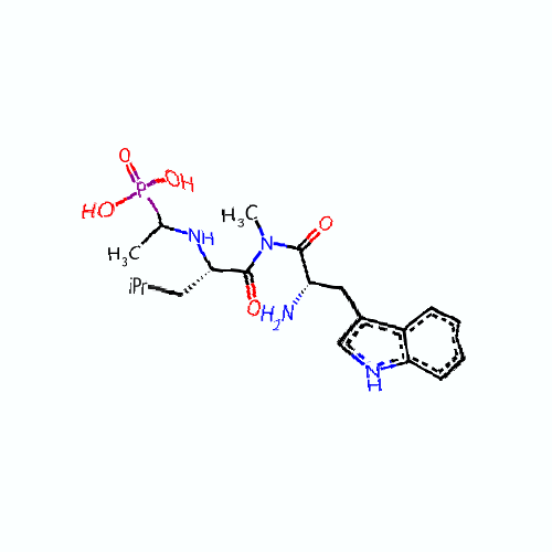 CC(C)C[C@H](NC(C)P(=O)(O)O)C(=O)N(C)C(=O)[C@@H](N)Cc1c[nH]c2ccccc12